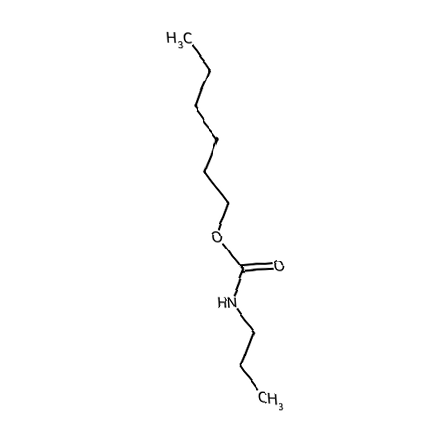 CCCCCCOC(=O)NCCC